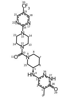 Cc1cc(N[C@@H]2CCCN(C(=O)N3CCN(c4ncc(C(F)(F)F)cn4)CC3)C2)n[nH]c1=O